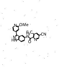 COc1cc(-c2n[nH]c3ccc(NC(=O)c4ncc(C#N)cc4C(F)(F)F)cc23)ccn1